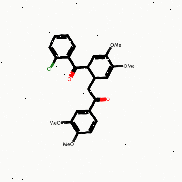 COC1=CC(CC(=O)c2ccc(OC)c(OC)c2)C(C(=O)c2ccccc2Cl)C=C1OC